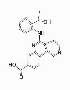 CC(O)c1ccccc1Nc1nc2cc(C(=O)O)ccc2c2cnccc12